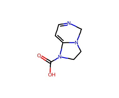 O=C(O)N1CCN2CN=CC=C21